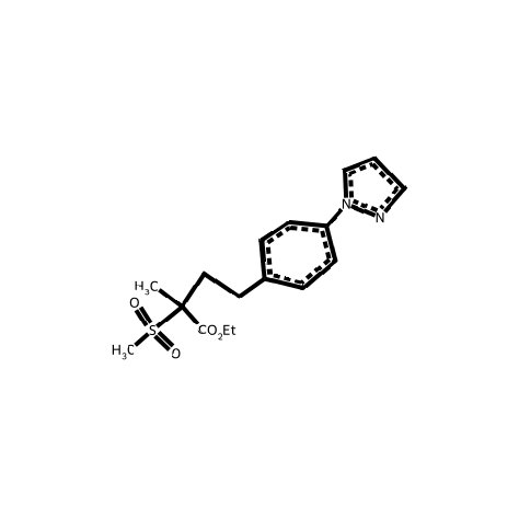 CCOC(=O)C(C)(CCc1ccc(-n2cccn2)cc1)S(C)(=O)=O